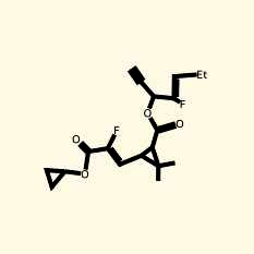 C#CC(OC(=O)C1C(C=C(F)C(=O)OC2CC2)C1(C)C)C(F)=CCC